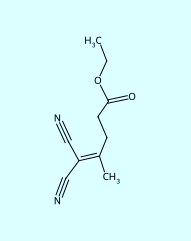 CCOC(=O)CCC(C)=C(C#N)C#N